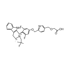 C[C@@H]1Cc2c([nH]c3ccccc23)[C@@H](c2c(F)cc(OCc3ccc(COCC(=O)O)cn3)cc2F)N1CC(C)(C)F